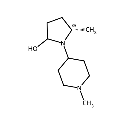 C[C@H]1CCC(O)N1C1CCN(C)CC1